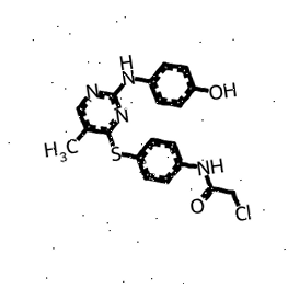 Cc1cnc(Nc2ccc(O)cc2)nc1Sc1ccc(NC(=O)CCl)cc1